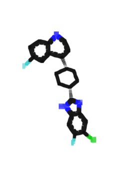 Fc1ccc2nccc([C@H]3CC[C@@H](c4nc5cc(Cl)c(F)cc5[nH]4)CC3)c2c1